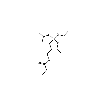 CCO[Si](CCCOC(=O)CC)(OCC)OC(C)C